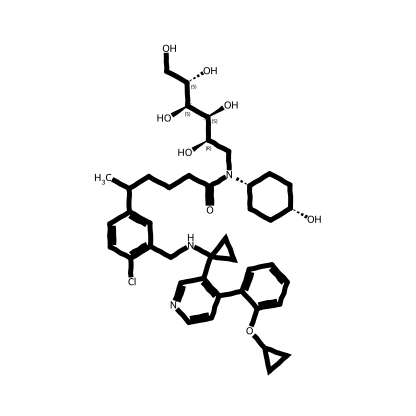 CC(CCCC(=O)N(C[C@@H](O)[C@H](O)[C@@H](O)[C@@H](O)CO)[C@H]1CC[C@@H](O)CC1)c1ccc(Cl)c(CNC2(c3cnccc3-c3ccccc3OC3CC3)CC2)c1